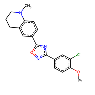 CC(C)Oc1ccc(-c2noc(-c3ccc4c(c3)CCCN4C)n2)cc1Cl